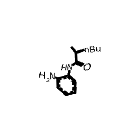 C[CH]CCC(C)C(=O)Nc1ccccc1N